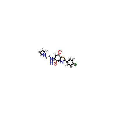 O=C1C(NCCn2cccc2)=CC(=O)c2sc(-c3ccc(F)cc3)nc21